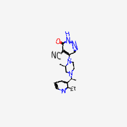 CCc1ncccc1[C@H](C)N1CCN(c2cn[nH]c(=O)c2C#N)[C@H](C)C1